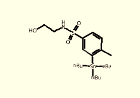 CCC[CH2][Sn]([CH2]CCC)([CH2]CCC)[c]1cc(S(=O)(=O)NCCO)ccc1C